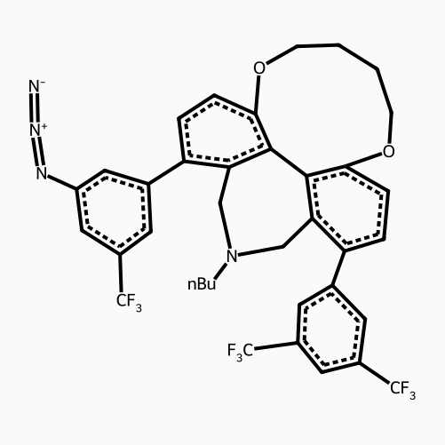 CCCCN1Cc2c(-c3cc(N=[N+]=[N-])cc(C(F)(F)F)c3)ccc3c2-c2c(ccc(-c4cc(C(F)(F)F)cc(C(F)(F)F)c4)c2C1)OCCCCO3